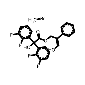 CBr.O=C(OCC(=CO)c1ccccc1)C(O)(c1cccc(F)c1F)c1cccc(F)c1F